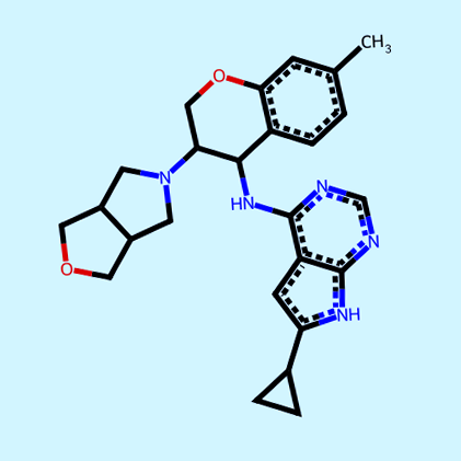 Cc1ccc2c(c1)OCC(N1CC3COCC3C1)C2Nc1ncnc2[nH]c(C3CC3)cc12